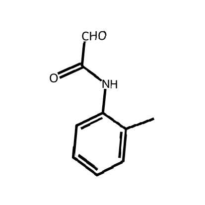 Cc1ccccc1NC(=O)C=O